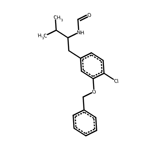 CC(C)C(Cc1ccc(Cl)c(OCc2ccccc2)c1)NC=O